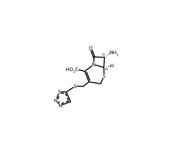 N[C@H]1C(=O)N2C(C(=O)O)=C(CSc3cnns3)CS[C@H]12